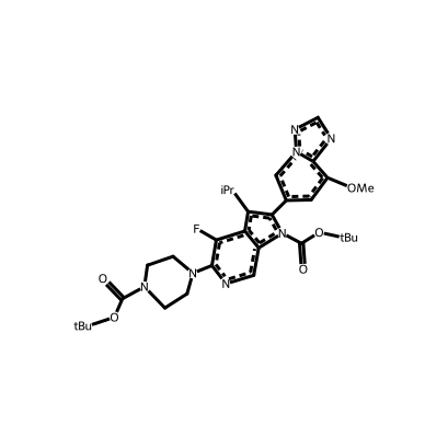 COc1cc(-c2c(C(C)C)c3c(F)c(N4CCN(C(=O)OC(C)(C)C)CC4)ncc3n2C(=O)OC(C)(C)C)cn2ncnc12